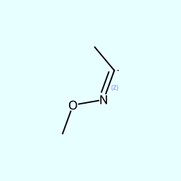 C/[C]=N\OC